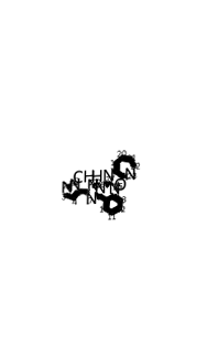 Cn1nccc1-c1nc2c3ccccc3nc(Nc3ccccnc3=O)n2n1